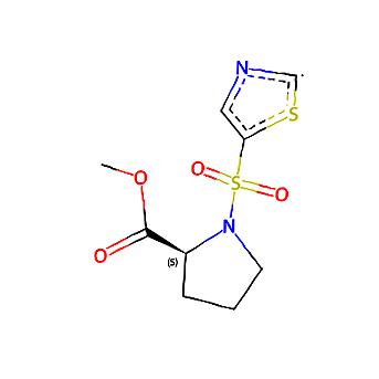 COC(=O)[C@@H]1CCCN1S(=O)(=O)c1cn[c]s1